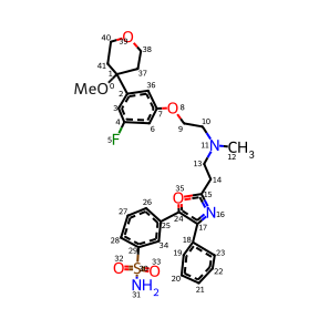 COC1(c2cc(F)cc(OCCN(C)CCc3nc(-c4ccccc4)c(-c4cccc(S(N)(=O)=O)c4)o3)c2)CCOCC1